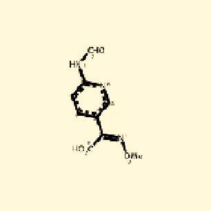 CON=C(C(=O)O)c1ccc(NC=O)nc1